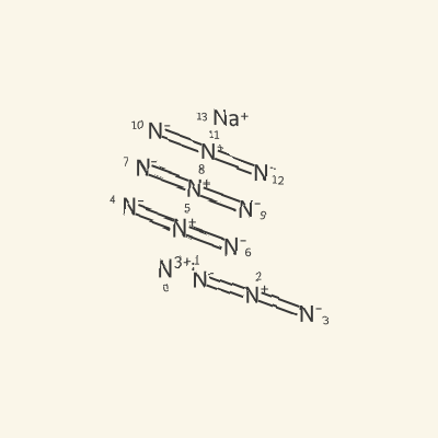 [N+3].[N-]=[N+]=[N-].[N-]=[N+]=[N-].[N-]=[N+]=[N-].[N-]=[N+]=[N-].[Na+]